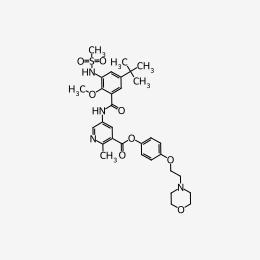 COc1c(NS(C)(=O)=O)cc(C(C)(C)C)cc1C(=O)Nc1cnc(C)c(C(=O)Oc2ccc(OCCN3CCOCC3)cc2)c1